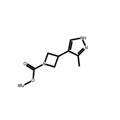 Cc1n[nH]cc1C1CN(C(=O)OC(C)(C)C)C1